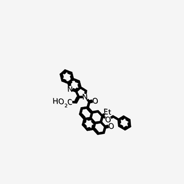 CCC1(OCc2ccccc2)CC2=C(C(=O)N3Cc4cc5ccccc5nc4C3=CC(=O)O)CC=c3ccc4c(c32)C1C(=O)CC=4